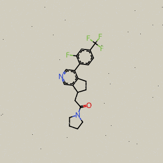 O=C(CC1CCc2c(-c3ccc(C(F)(F)F)cc3F)cncc21)N1CCCC1